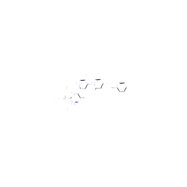 Cc1cccc(COc2cc(C)n(-c3ccnc(-c4nc(C(C)(C)C)ncc4C)c3)c(=O)c2Cl)c1